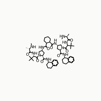 CN[C@@H](C)C(=O)NC(C(=O)N1C[C@@H](NC(=O)C2CCCCC2C(=O)N[C@H]2C[C@@H](C(=O)N[C@@H]3CCCc4ccccc43)N(C(=O)[C@@H](NC(=O)[C@H](C)NC)C(C)(C)C)C2)CC1C(=O)N[C@@H]1CCCc2ccccc21)C(C)(C)C